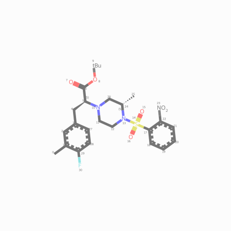 Cc1cc(C[C@@H](C(=O)OC(C)(C)C)N2CCN(S(=O)(=O)c3ccccc3[N+](=O)[O-])[C@@H](C)C2)ccc1F